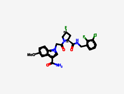 COc1ccc2c(c1)c(C(N)=O)cn2CC(=O)N1C[C@H](F)C[C@H]1C(=O)NCc1cccc(Cl)c1F